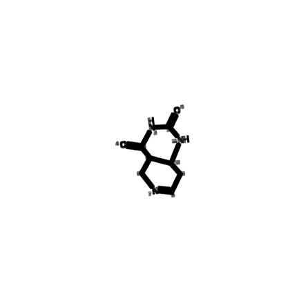 O=C1NC(=O)C2CN=CCC2N1